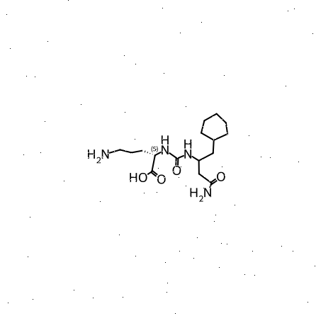 NCCC[C@H](NC(=O)NC(CC(N)=O)CC1CCCCC1)C(=O)O